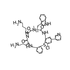 CN1C(=O)[C@H](CCCCN)NC(=O)[C@H](CCCN)NCc2ccccc2Sc2c(Cl)cc(-c3cccnc3)cc2CNC(=O)[C@@H]1Cc1c[nH]c2ccccc12